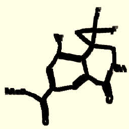 COC(=O)c1cc(Br)c2c(c1)C(=O)NCC21CC1(F)F